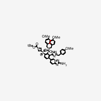 COc1ccc(CN(Cc2ccc(OC)cc2)S(=O)(=O)c2c(S(=O)(=O)C3CN(C(=O)OC(C)(C)C)C3)ccc(-c3ccc4nc(N)nn4c3)c2-c2nnn(Cc3ccc(OC)cc3)n2)cc1